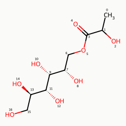 CC(O)C(=O)OC[C@H](O)[C@@H](O)[C@H](O)[C@H](O)CO